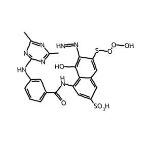 Cc1nc(C)nc(Nc2cccc(C(=O)Nc3cc(S(=O)(=O)O)cc4cc(SOOO)c(N=N)c(O)c34)c2)n1